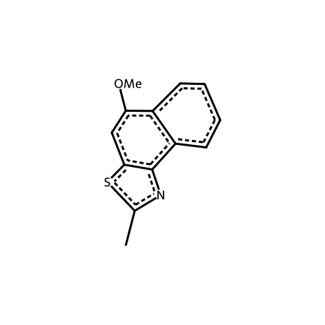 COc1cc2sc(C)nc2c2ccccc12